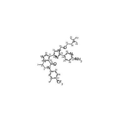 Cc1cc(N2CC(C)n3ncc(-c4cn(COCCS(C)(C)C)c(-c5ccc(N)nc5)n4)c3C2=O)ccc1C(F)(F)F